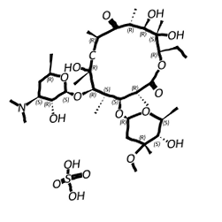 CC[C@H]1OC(=O)[C@H](C)[C@@H](O[C@H]2C[C@@](C)(OC)[C@@H](O)[C@H](C)O2)[C@H](C)[C@@H](O[C@@H]2O[C@H](C)C[C@H](N(C)C)[C@H]2O)[C@](C)(O)C[C@@H](C)C(=O)[C@H](C)[C@@H](O)[C@]1(C)O.O=S(=O)(O)O